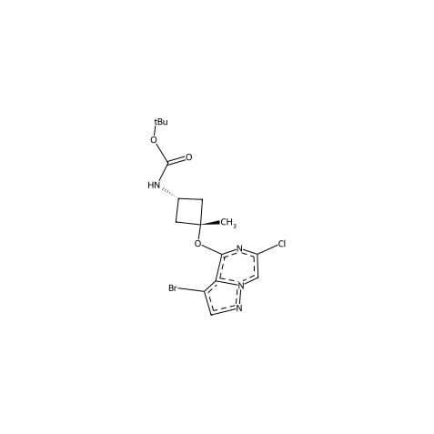 CC(C)(C)OC(=O)N[C@H]1C[C@@](C)(Oc2nc(Cl)cn3ncc(Br)c23)C1